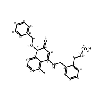 Cc1ncnc2c1c(NCc1ccccc1CNC(=O)O)cc(=O)n2OCc1ccccc1